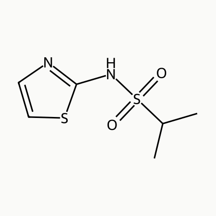 CC(C)S(=O)(=O)Nc1nccs1